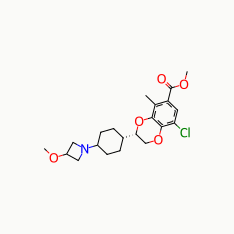 COC(=O)c1cc(Cl)c2c(c1C)O[C@@H](C1CCC(N3CC(OC)C3)CC1)CO2